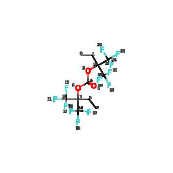 CCC(OC(=O)OC(CC)(C(F)(F)F)C(F)(F)F)(C(F)(F)F)C(F)(F)F